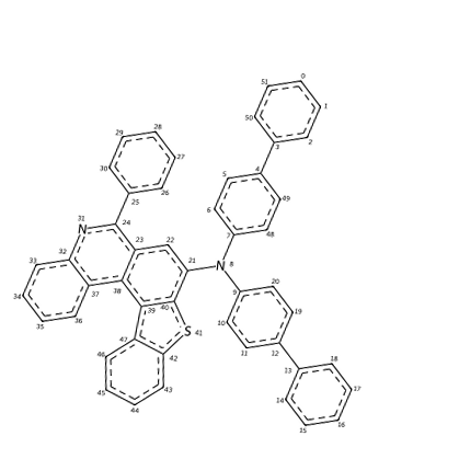 c1ccc(-c2ccc(N(c3ccc(-c4ccccc4)cc3)c3cc4c(-c5ccccc5)nc5ccccc5c4c4c3sc3ccccc34)cc2)cc1